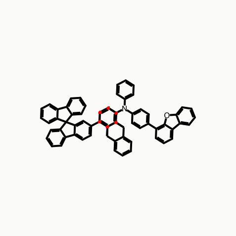 c1ccc(N(c2ccc(-c3cccc4c3oc3ccccc34)cc2)c2ccc(-c3ccc4c(c3)C3(c5ccccc5-c5ccccc53)c3ccccc3-4)c3c2C2c4ccccc4C3c3ccccc32)cc1